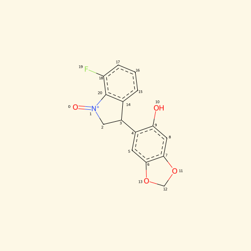 O=[N+]1CC(c2cc3c(cc2O)OCO3)c2cccc(F)c21